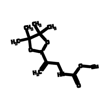 C=C(CNC(=O)OC(C)(C)C)B1OC(C)(C)C(C)(C)O1